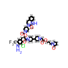 Nc1c(Cl)cc(C[C@@H](OC(=O)N2CCC(N3CCc4ccccc4NC3=O)CC2)C(=O)N2CCC(C3CCN(CC(=O)OCCCN4CCCC4=O)CC3)CC2)cc1C(F)(F)F